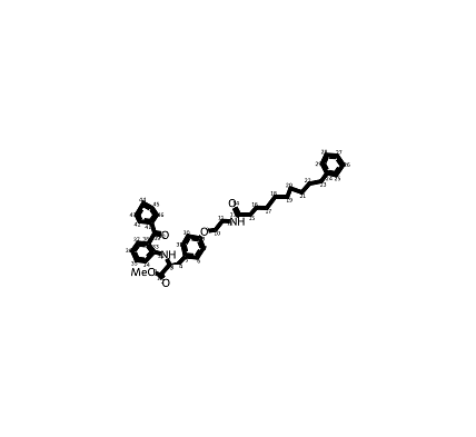 COC(=O)[C@H](Cc1ccc(OCCNC(=O)CCCCCCCCCc2ccccc2)cc1)Nc1ccccc1C(=O)c1ccccc1